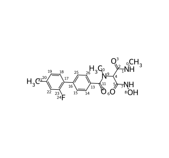 CNC(=O)C(C(=O)NO)N(C)C(=O)c1ccc(-c2ccc(C)cc2F)cc1